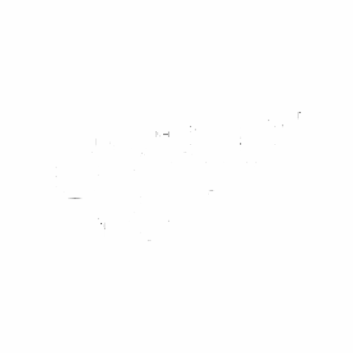 NC(CC(=O)C(=O)c1ccc(F)cc1)(C(=O)O)C1c2ccccc2NC2CCCC21